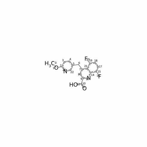 COc1ccc(Cc2cc(C(=O)O)nc3c(F)ccc(F)c23)cn1